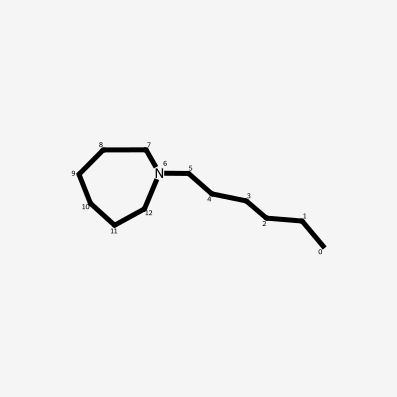 CCCCCCN1CCCCCC1